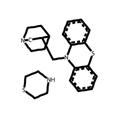 C1CSCCN1.c1ccc2c(c1)Sc1ccccc1N2CC1CN2CCC1CC2